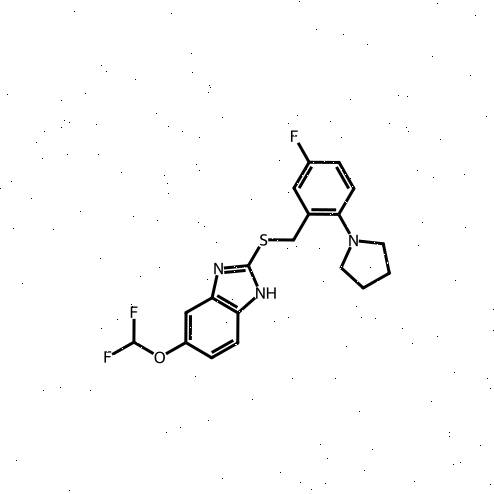 Fc1ccc(N2CCCC2)c(CSc2nc3cc(OC(F)F)ccc3[nH]2)c1